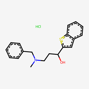 CN(CCC(O)c1cc2ccccc2s1)Cc1ccccc1.Cl